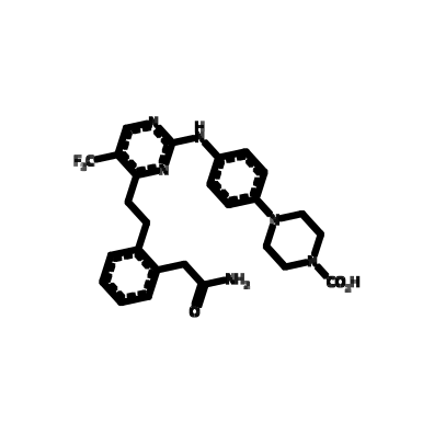 NC(=O)Cc1ccccc1CCc1nc(Nc2ccc(N3CCN(C(=O)O)CC3)cc2)ncc1C(F)(F)F